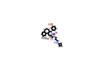 COc1ccc2c(c1)C1=C(CCC2)[C@@H](c2cccc(O)c2)N2C(=O)N(CCCNC3CCC3)C(=O)[C@]2(C)C1